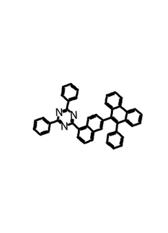 c1ccc(-c2nc(-c3ccccc3)nc(-c3cccc4cc(-c5c(-c6ccccc6)c6ccccc6c6ccccc56)ccc34)n2)cc1